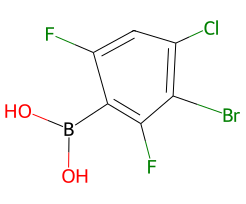 OB(O)c1c(F)cc(Cl)c(Br)c1F